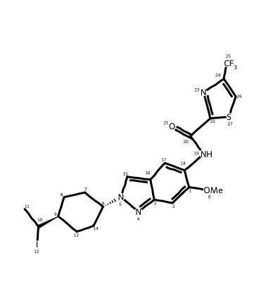 COc1cc2nn([C@H]3CC[C@H](C(C)I)CC3)cc2cc1NC(=O)c1nc(C(F)(F)F)cs1